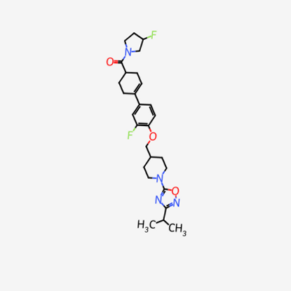 CC(C)c1noc(N2CCC(COc3ccc(C4=CCC(C(=O)N5CCC(F)C5)CC4)cc3F)CC2)n1